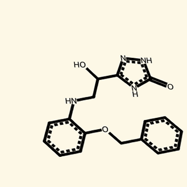 O=c1[nH]nc(C(O)CNc2ccccc2OCc2ccccc2)[nH]1